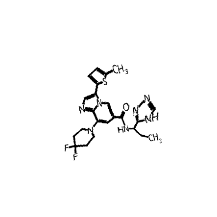 CCC(NC(=O)c1cc(N2CCC(F)(F)CC2)c2ncc(-c3ccc(C)s3)n2c1)c1nnc[nH]1